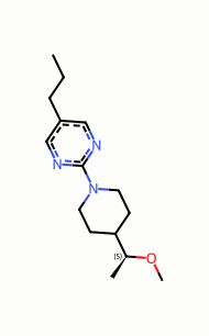 CCCc1cnc(N2CCC([C@H](C)OC)CC2)nc1